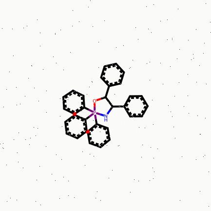 c1ccc(C2NP(c3ccccc3)(c3ccccc3)(c3ccccc3)OC2c2ccccc2)cc1